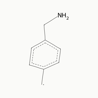 [CH2]c1ccc(CN)cc1